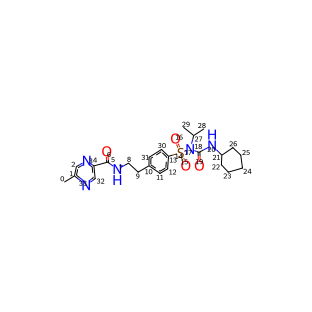 Cc1cnc(C(=O)NCCc2ccc(S(=O)(=O)N(C(=O)NC3CCCCC3)C(C)C)cc2)cn1